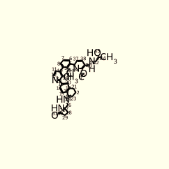 COc1nc(-c2cccc(-c3ccnc(-c4ccc5c(c4)CCC[C@@H]5NCC4CCC(=O)N4)c3Cl)c2Cl)ccc1CNCC(C)O